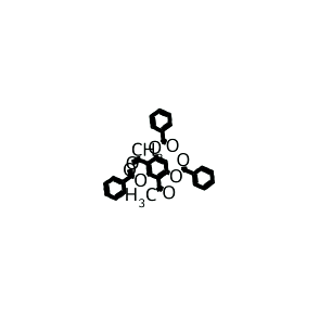 CC(=O)c1c(OC(=O)c2ccccc2)cc(OC(=O)c2ccccc2)c(C(C)=O)c1OC(=O)c1ccccc1